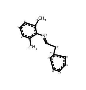 Cc1cccc(C)c1N=CCc1ccccc1